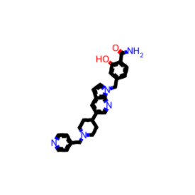 NC(=O)c1ccc(Cn2ccc3cc(C4CCN(Cc5ccncc5)CC4)cnc32)cc1O